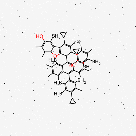 Bc1c(B)c(O)c(C2C(CCC)=C(C3CC3)c3c(oc4c(C)c(C)c(O)c(B)c34)C2c2c3c(B)c(C)c(C)c(C)c3c(-c3c(B)c(B)c(C4CC4)c(C)c3B)c3c(C)c(C)c(C)c(C4CC4)c23)c(C)c1C